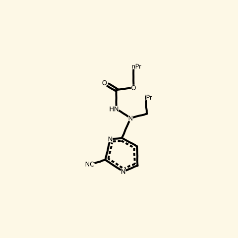 CCCOC(=O)NN(CC(C)C)c1ccnc(C#N)n1